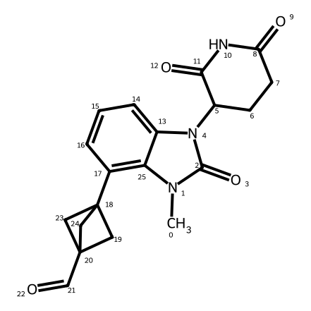 Cn1c(=O)n(C2CCC(=O)NC2=O)c2cccc(C34CC(C=O)(C3)C4)c21